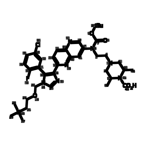 CC1CN(CCN(C(=O)OC(C)(C)C)c2cnc3ccc(-c4ncn(COCC[Si](C)(C)C)c4-c4cc(Cl)ccc4F)nc3c2)CC(C)N1C(=O)O